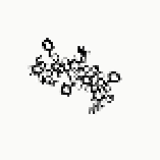 CCC1O[C@@H](O[C@@H]2C(C)O[C@@H](O[C@@H]3C(CC)O[C@H](O[C@@H]4C(C(=O)OC)O[C@@H](O[C@@H]5C(COC(=O)c6ccccc6)O[C@H](OC)C(N=[N+]=[N-])[C@H]5C)C(OC(=O)c5ccccc5)[C@H]4C)C(N=[N+]=[N-])[C@H]3C)C(OCc3ccccc3)[C@H]2C)C(N=[N+]=[N-])[C@@H](C)[C@@H]1C